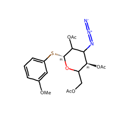 COc1cccc(S[C@H]2OC(COC(C)=O)[C@H](OC(C)=O)C(N=[N+]=[N-])C2OC(C)=O)c1